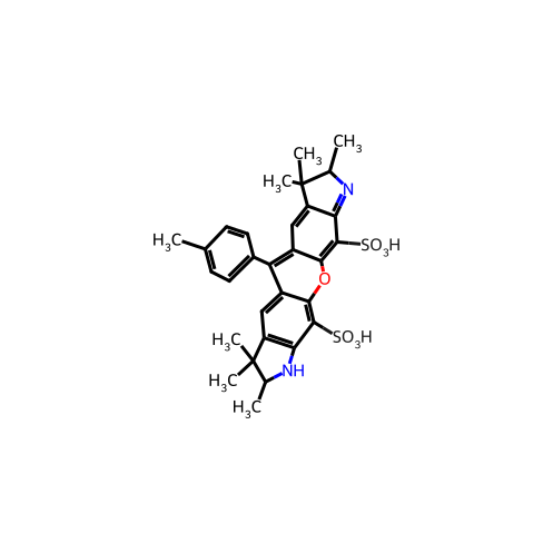 Cc1ccc(C2=c3cc4c(c(S(=O)(=O)O)c3Oc3c2cc2c(c3S(=O)(=O)O)NC(C)C2(C)C)=NC(C)C4(C)C)cc1